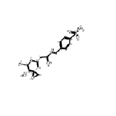 CC[C@H]1O[C@H](CC(O)NCc2ccc(S(N)(=O)=O)cc2)C[C@@]2(CO2)[C@@H]1O